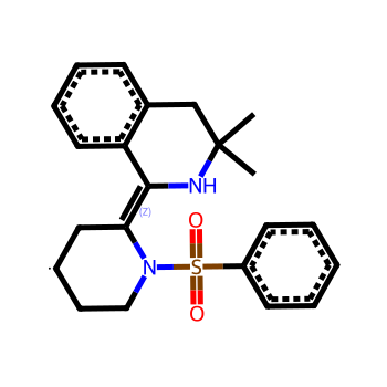 CC1(C)Cc2ccccc2/C(=C2\C[CH]CCN2S(=O)(=O)c2ccccc2)N1